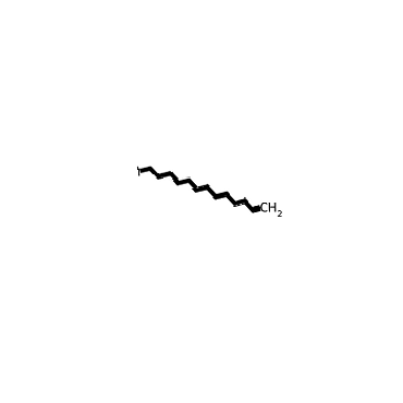 C=C[CH]CCCCCCCCCCI